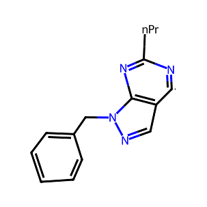 CCCc1n[c]c2cnn(Cc3ccccc3)c2n1